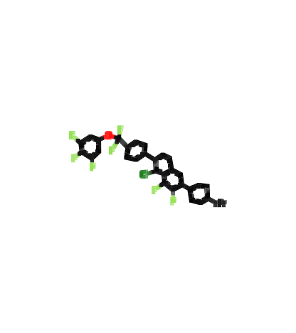 CCCc1ccc(-c2cc3ccc(-c4ccc(C(F)(F)Oc5cc(F)c(F)c(F)c5)cc4)c(Cl)c3c(F)c2F)cc1